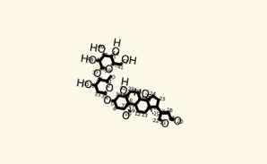 CC1OC(OC2CC[C@]3(C=O)C4CC[C@]5(C)C(C6=CC(=O)OC6)CC[C@]5(O)C4CC[C@]3(O)C2)CC(O)C1OC1OC(CO)C(O)C(O)C1O